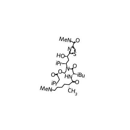 CC[C@H](C)[C@H](NC(=O)[C@H](C)CCCCNC)C(=O)N(COC(=O)CC(C)C)[C@H](C[C@@H](O)c1nc(C(=O)NC)cs1)C(C)C